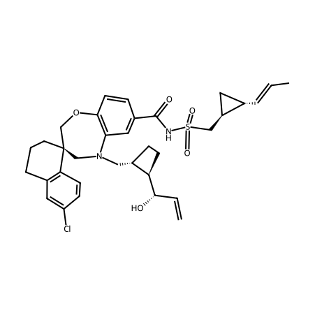 C=C[C@H](O)[C@@H]1CC[C@H]1CN1C[C@@]2(CCCc3cc(Cl)ccc32)COc2ccc(C(=O)NS(=O)(=O)C[C@H]3C[C@@H]3/C=C/C)cc21